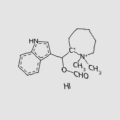 C[N+]1(C)CCCCC[C+]1C(OC=O)c1c[nH]c2ccccc12.I